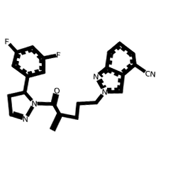 C=C(CCCn1cc2c(C#N)cccc2n1)C(=O)N1N=CCC1c1cc(F)cc(F)c1